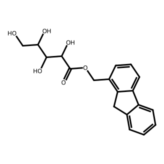 O=C(OCc1cccc2c1Cc1ccccc1-2)C(O)C(O)C(O)CO